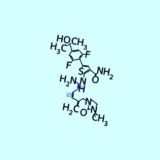 C=C(/C=C\C=C(/N)Nc1sc(-c2c(F)cc(C(C)(C)O)cc2F)cc1C(N)=O)CN1CCN(C)C1=O